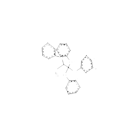 [Ti][O]C(Oc1ccccc1)C(Oc1ccccc1)(Oc1ccccc1)Oc1ccccc1